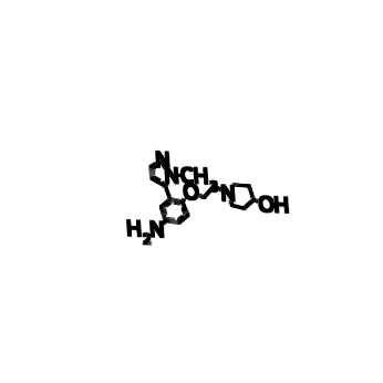 Cn1nccc1-c1cc(N)ccc1OCCN1CCC(O)CC1